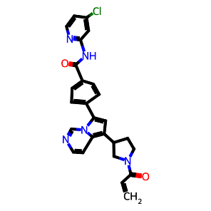 C=CC(=O)N1CCC(c2cc(-c3ccc(C(=O)Nc4cc(Cl)ccn4)cc3)n3cnccc23)C1